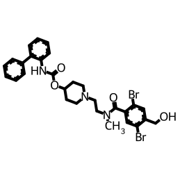 CN(CCN1CCC(OC(=O)Nc2ccccc2-c2ccccc2)CC1)C(=O)c1cc(Br)c(CO)cc1Br